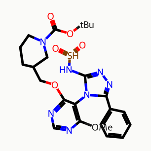 COc1ncnc(OCC2CCCN(C(=O)OC(C)(C)C)C2)c1-n1c(N[SH](=O)=O)nnc1-c1ccccc1